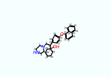 OC1(C(CN2CCNCC2)c2ccc(Oc3cccc4ccccc34)cc2)CCCCC1